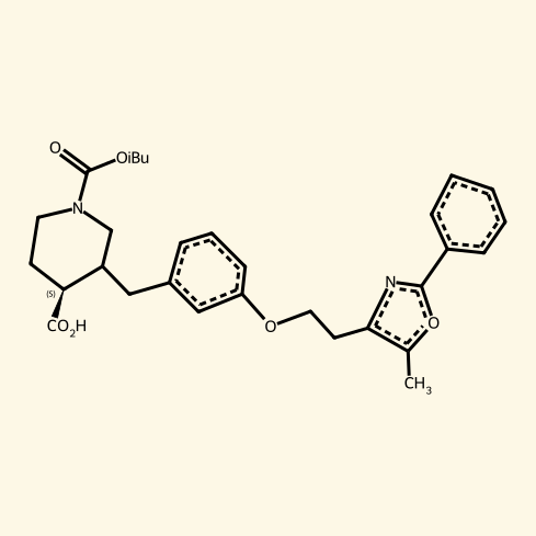 Cc1oc(-c2ccccc2)nc1CCOc1cccc(CC2CN(C(=O)OCC(C)C)CC[C@@H]2C(=O)O)c1